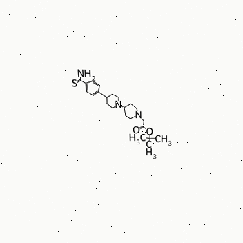 CC(C)(C)OC(=O)CN1CCC(N2CCC(c3ccc(C(N)=S)cc3)CC2)CC1